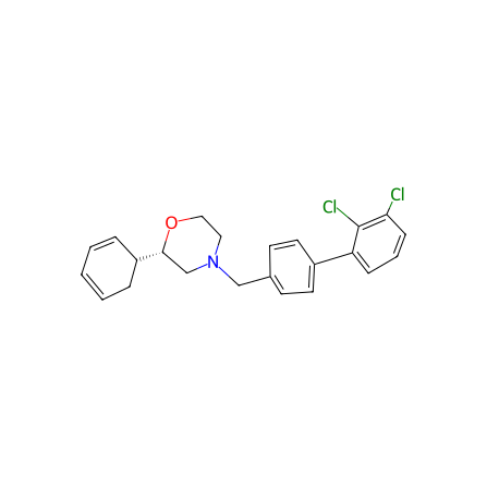 Clc1cccc(-c2ccc(CN3CCO[C@@H](C4C=CC=CC4)C3)cc2)c1Cl